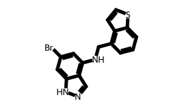 Brc1cc(NCc2cccc3sccc23)c2cn[nH]c2c1